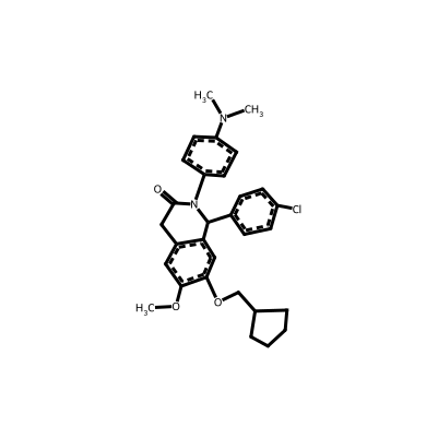 COc1cc2c(cc1OCC1CCCC1)C(c1ccc(Cl)cc1)N(c1ccc(N(C)C)cc1)C(=O)C2